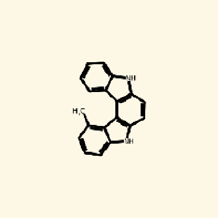 Cc1cccc2[nH]c3ccc4[nH]c5ccccc5c4c3c12